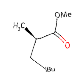 CCC(C)C[C@@H](C)C(=O)OC